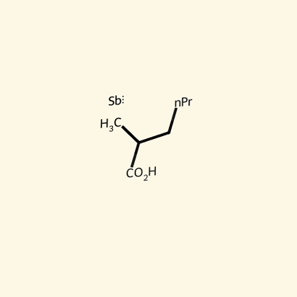 CCCCC(C)C(=O)O.[Sb]